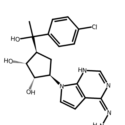 CC(O)(c1ccc(Cl)cc1)[C@H]1C[C@@H](n2ccc3/c(=N\N)nc[nH]c32)[C@H](O)[C@@H]1O